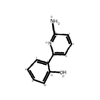 Nc1cccc(-c2ccccc2O)n1